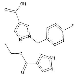 CCOC(=O)c1cn[nH]c1.O=C(O)c1cnn(Cc2ccc(F)cc2)c1